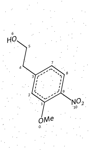 COc1cc(CCO)ccc1[N+](=O)[O-]